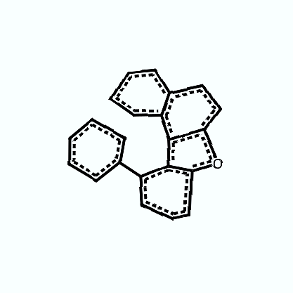 c1ccc(-c2cccc3oc4ccc5ccccc5c4c23)cc1